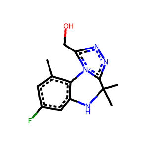 Cc1cc(F)cc2c1-n1c(CO)nnc1C(C)(C)N2